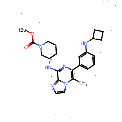 CC(C)(C)OC(=O)N1CCC[C@H](Nc2nc(-c3cccc(NC4CCC4)c3)c(C(F)(F)F)n3ccnc23)C1